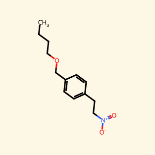 CCCCOCc1ccc(CC[N+](=O)[O-])cc1